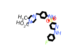 C[C@H]1CN(Cc2ccc(NS(=O)(=O)c3ccc(Nc4ccc(F)cc4)nc3)cc2)CCN1C(=O)O